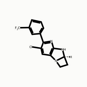 FC(F)(F)c1cccc(-c2nc3c(cc2Cl)N2CC[C@@H]2N3)c1